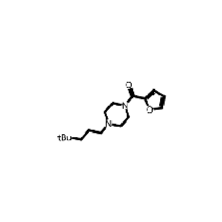 CC(C)(C)CCCN1CCN(C(=O)c2ccco2)CC1